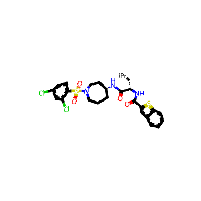 CC(C)C[C@H](NC(=O)c1cc2ccccc2s1)C(=O)N[C@@H]1CCCN(S(=O)(=O)c2ccc(Cl)cc2Cl)CC1